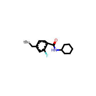 CC(C)(C)Cc1ccc(C(=O)NC2CCCCC2)c(F)c1